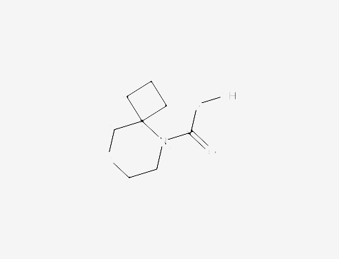 CSC(=O)N1CCOCC12CCC2